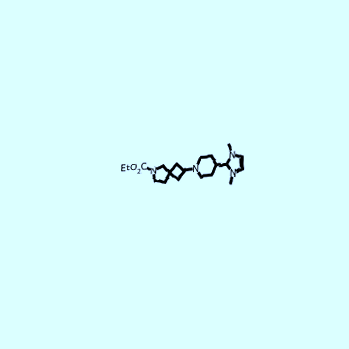 CCOC(=O)N1CCC2(CC(N3CCC(C4N(C)C=CN4C)CC3)C2)C1